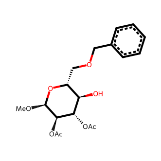 CO[C@H]1O[C@H](COCc2ccccc2)[C@@H](O)[C@H](OC(C)=O)[C@H]1OC(C)=O